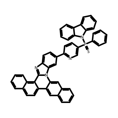 S=P(c1ccccc1)(c1ccc(-c2ccc3nc4c5c6ccccc6ccc5c5cc6ccccc6cc5n4c3c2)nc1)n1c2ccccc2c2ccccc21